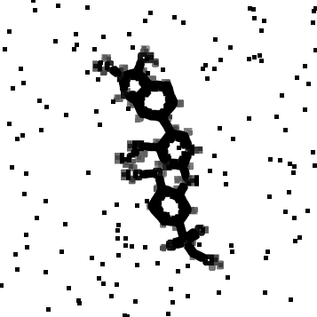 CCS(=O)(=O)c1ccc(OC)c(Nc2ncc(-c3ccc4c(C)n(C)nc4c3)c(NC)n2)c1